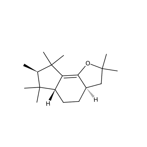 C[C@H]1C(C)(C)C2=C3OC(C)(C)C[C@H]3CC[C@@H]2C1(C)C